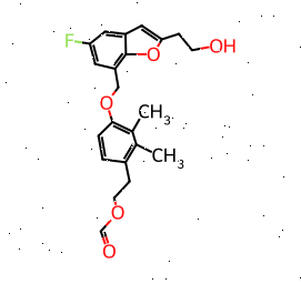 Cc1c(CCOC=O)ccc(OCc2cc(F)cc3cc(CCO)oc23)c1C